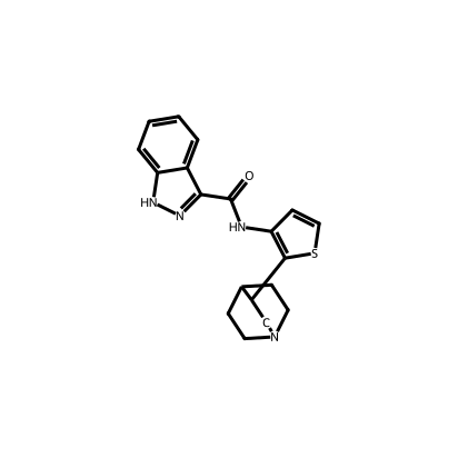 O=C(Nc1ccsc1C1CN2CCC1CC2)c1n[nH]c2ccccc12